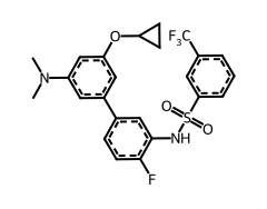 CN(C)c1cc(OC2CC2)cc(-c2ccc(F)c(NS(=O)(=O)c3cccc(C(F)(F)F)c3)c2)c1